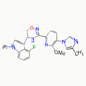 COc1nc(C2=NOCC(c3cn(C(C)C)c4cccc(F)c34)N2)ccc1-n1cnc(C)c1